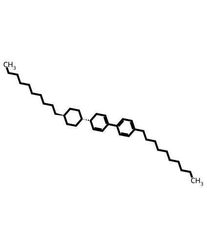 CCCCCCCCCCc1ccc(C2=CCC([C@H]3CC[C@H](CCCCCCCCCC)CC3)C=C2)cc1